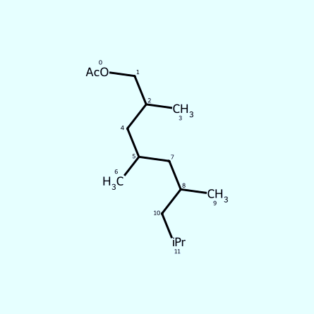 CC(=O)OCC(C)CC(C)CC(C)CC(C)C